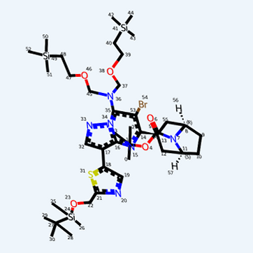 CC(C)(C)OC(=O)N1[C@@H]2CC[C@H]1C[C@@H](c1nc3c(-c4cnc(CO[Si](C)(C)C(C)(C)C)s4)cnn3c(N(COCC[Si](C)(C)C)COCC[Si](C)(C)C)c1Br)C2